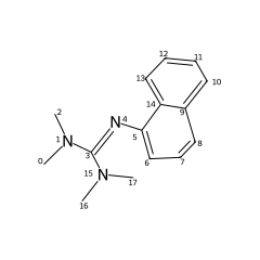 CN(C)C(=Nc1cccc2ccccc12)N(C)C